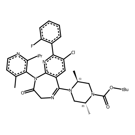 Cc1ccnc(C(C)C)c1N1C(=O)CN=C(N2C[C@@H](C)N(C(=O)OC(C)(C)C)C[C@@H]2C)c2cc(Cl)c(-c3ccccc3F)nc21